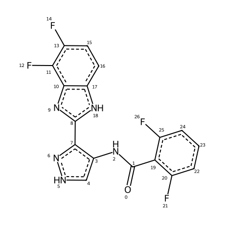 O=C(Nc1c[nH]nc1-c1nc2c(F)c(F)ccc2[nH]1)c1c(F)cccc1F